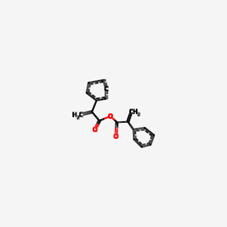 C=C(C(=O)OC(=O)C(=C)c1ccccc1)c1ccccc1